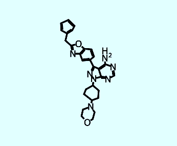 Nc1ncnc2c1c(-c1ccc3oc(Cc4ccccc4)nc3c1)nn2C1CCC(N2CCOCC2)CC1